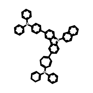 C1=CC(N(C2=CCC=C(c3ccc4c(c3)c3cc(-c5ccc(N(c6ccccc6)c6ccccc6)cc5)ccc3n4-c3ccc4ccccc4c3)C=C2)c2ccccc2)=CCC1